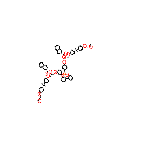 CC(C)(c1ccc(OCC2CO2)cc1)c1ccc(OCC(COc2ccc(C(C)(c3ccc(OCC(COc4ccc(C(C)(C)c5ccc(OCC6CO6)cc5)cc4)OC(=O)c4ccc5ccccc5c4)cc3)P3(=O)Oc4ccccc4-c4ccccc43)cc2)OC(=O)c2ccc3ccccc3c2)cc1